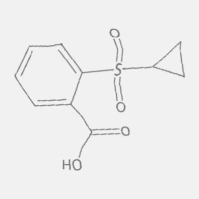 O=C(O)c1ccccc1S(=O)(=O)C1CC1